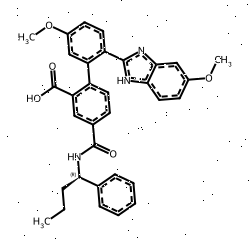 CCC[C@@H](NC(=O)c1ccc(-c2cc(OC)ccc2-c2nc3cc(OC)ccc3[nH]2)c(C(=O)O)c1)c1ccccc1